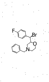 Fc1ccc([C@@H](Br)C2CN(Cc3ccccc3)CCO2)cc1